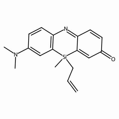 C=CC[Si]1(C)C2=CC(=O)C=CC2=Nc2ccc(N(C)C)cc21